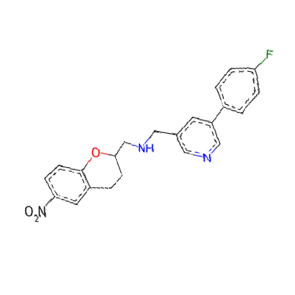 O=[N+]([O-])c1ccc2c(c1)CCC(CNCc1cncc(-c3ccc(F)cc3)c1)O2